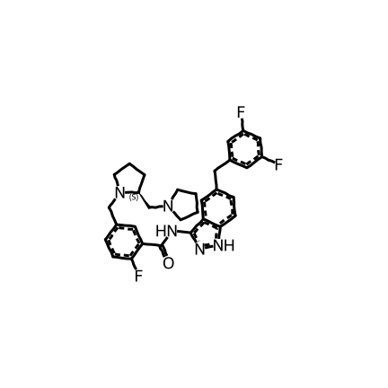 O=C(Nc1n[nH]c2ccc(Cc3cc(F)cc(F)c3)cc12)c1cc(CN2CCC[C@H]2CN2CCCC2)ccc1F